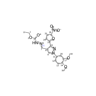 CCOC(=O)N/N=C/c1cn(-c2ccc(OC)c(OC)c2)nc1-c1ccc([N+](=O)[O-])o1